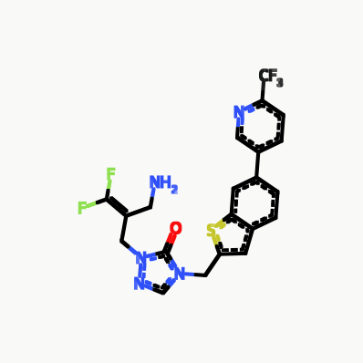 NCC(Cn1ncn(Cc2cc3ccc(-c4ccc(C(F)(F)F)nc4)cc3s2)c1=O)=C(F)F